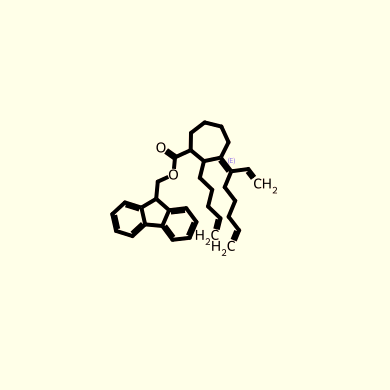 C=CCCC/C(C=C)=C1/CCCCC(C(=O)OCC2c3ccccc3-c3ccccc32)C1CCCC=C